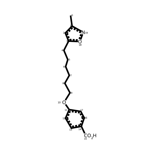 Cc1cc(CCCCCCOc2ccc(C(=O)O)cc2)on1